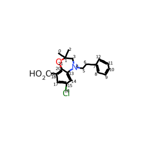 CC1(C)CN(CCc2ccccc2)c2cc(Cl)cc(C(=O)O)c2O1